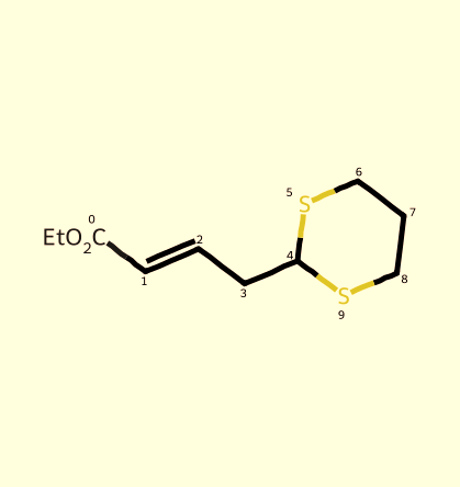 CCOC(=O)C=CCC1SCCCS1